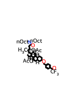 CCCCCCCCN(CCCCCCCC)C(=O)CC[C@@H](C)[C@H]1CC[C@H]2[C@@H]3[C@H](OC(C)=O)C[C@@H]4C[C@H](OCc5ccc(C(=O)C(F)(F)F)cc5)CC[C@]4(C)[C@H]3C[C@H](OC(C)=O)[C@]12C